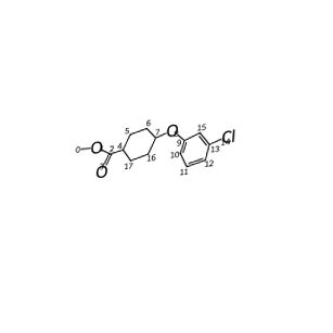 COC(=O)C1CCC(Oc2cccc(Cl)c2)CC1